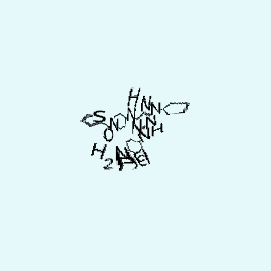 Cl.Cl.NC1CCC(Nc2nc(NC3CCN(C(=O)c4cccs4)CC3)c3ncn(C4CCCC4)c3n2)CC1